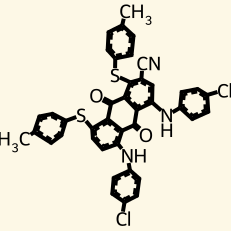 Cc1ccc(Sc2ccc(Nc3ccc(Cl)cc3)c3c2C(=O)c2c(Sc4ccc(C)cc4)c(C#N)cc(Nc4ccc(Cl)cc4)c2C3=O)cc1